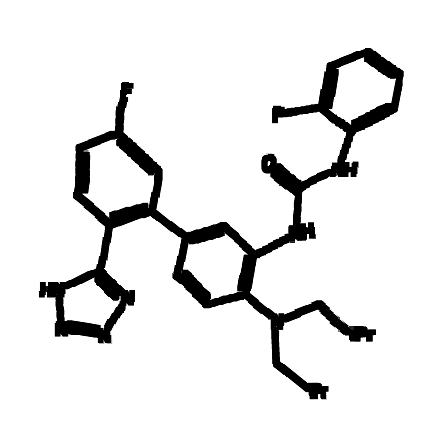 CC(C)CN(CC(C)C)c1ccc(-c2cc(F)ccc2-c2nnn[nH]2)cc1NC(=O)Nc1ccccc1F